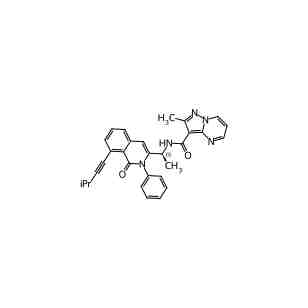 Cc1nn2cccnc2c1C(=O)N[C@@H](C)c1cc2cccc(C#CC(C)C)c2c(=O)n1-c1ccccc1